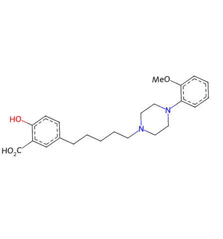 COc1ccccc1N1CCN(CCCCCc2ccc(O)c(C(=O)O)c2)CC1